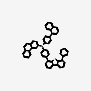 c1ccc(-c2cccc3c2oc2c(-c4ccc(N(c5ccc(-c6cccc7ccccc67)cc5)c5ccc6ccc7ccccc7c6c5)cc4)cccc23)cc1